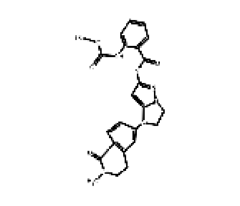 CN1CCc2cc(N3CCn4nc(NC(=O)c5ccccc5NC(=O)OC(C)(C)C)cc43)ccc2C1=O